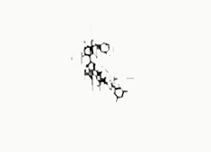 Cc1cc(C)cc([C@@H](CO)NC(=O)[C@H](C)n2cnn3cc(-c4nc(NC5CCOCC5)ncc4Cl)cc3c2=O)c1